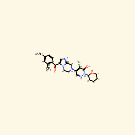 COc1ccc(C(=O)c2cnc3n2CCN(c2cnn(C4CCCCO4)c(=O)c2Cl)C3)c(C(F)(F)F)c1